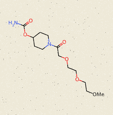 COCCOCCOCC(=O)N1CCC(OC(N)=O)CC1